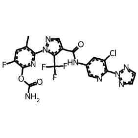 Cc1cc(F)c(OC(N)=O)nc1-n1ncc(C(=O)Nc2cnc(-n3nccn3)c(Cl)c2)c1C(F)(F)F